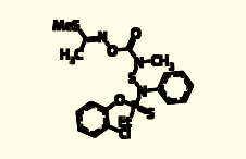 CCP(=S)(Oc1ccccc1Cl)N(SN(C)C(=O)ON=C(C)SC)c1ccccc1